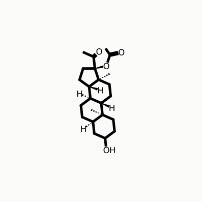 CC(=O)O[C@]1(C(C)=O)CC[C@H]2[C@@H]3CC[C@@H]4CC(O)CC[C@]4(C)[C@H]3CC[C@@]21C